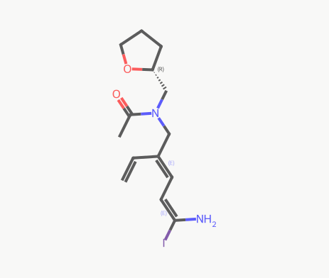 C=C/C(=C\C=C(/N)I)CN(C[C@H]1CCCO1)C(C)=O